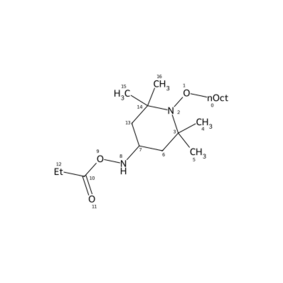 CCCCCCCCON1C(C)(C)CC(NOC(=O)CC)CC1(C)C